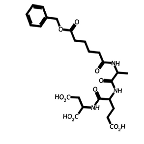 CC(NC(=O)CCCCC(=O)OCc1ccccc1)C(=O)NC(CCC(=O)O)C(=O)NC(CC(=O)O)C(=O)O